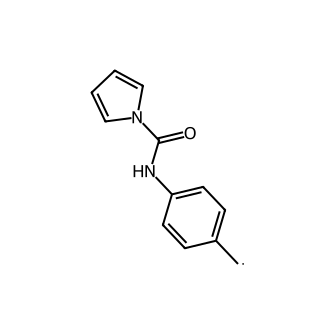 [CH2]c1ccc(NC(=O)n2cccc2)cc1